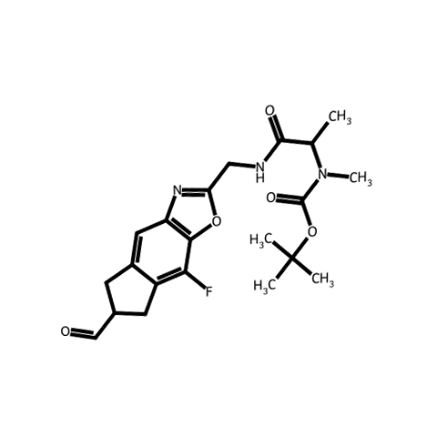 CC(C(=O)NCc1nc2cc3c(c(F)c2o1)CC(C=O)C3)N(C)C(=O)OC(C)(C)C